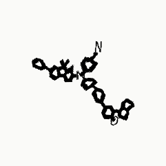 CC1(C)c2cc(-c3ccccc3)ccc2-c2ccc(N(c3ccc(C#N)cc3)c3ccc(-c4ccc(-c5ccc6oc7ccc8ccccc8c7c6c5)cc4)cc3)cc21